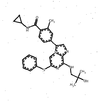 Cc1cc(-c2cnc3c(NCC(C)(C)O)nc(Sc4ccccc4)cn23)ccc1C(=O)NC1CC1